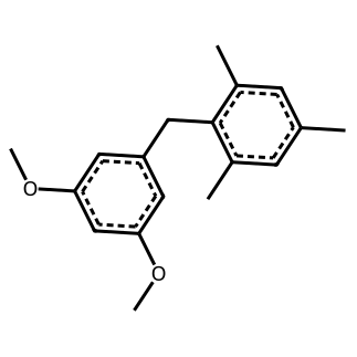 COc1cc(Cc2c(C)cc(C)cc2C)cc(OC)c1